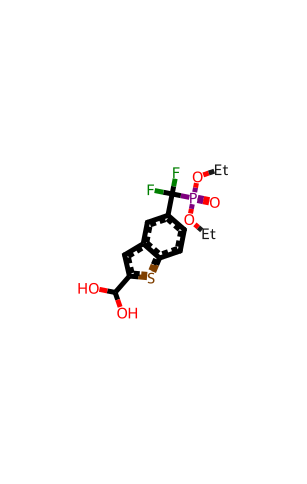 CCOP(=O)(OCC)C(F)(F)c1ccc2sc(C(O)O)cc2c1